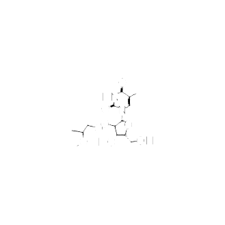 COC(C)COOC1C(O)[C@H](CO)O[C@@H]1n1cc(C)c(=O)[nH]c1=O